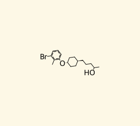 Cc1c(Br)cccc1O[C@H]1CC[C@H](CCCC(C)O)CC1